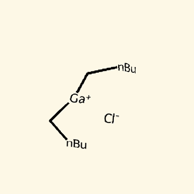 CCCC[CH2][Ga+][CH2]CCCC.[Cl-]